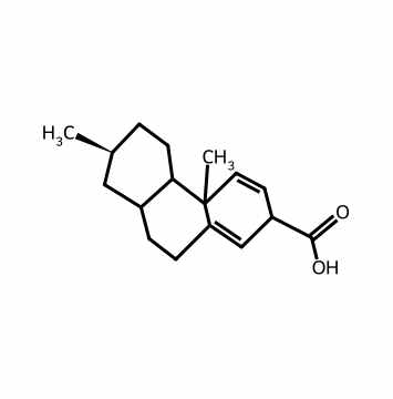 C[C@H]1CCC2C(CCC3=CC(C(=O)O)C=CC32C)C1